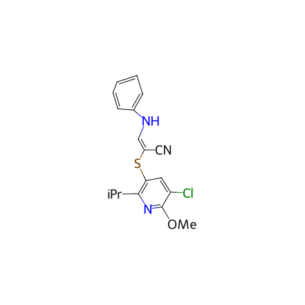 COc1nc(C(C)C)c(S/C(C#N)=C/Nc2ccccc2)cc1Cl